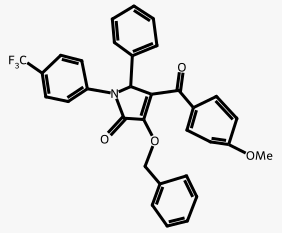 COc1ccc(C(=O)C2=C(OCc3ccccc3)C(=O)N(c3ccc(C(F)(F)F)cc3)C2c2ccccc2)cc1